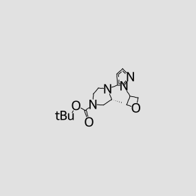 C[C@@H]1CN(C(=O)OC(C)(C)C)CCN1c1ccnn1C1COC1